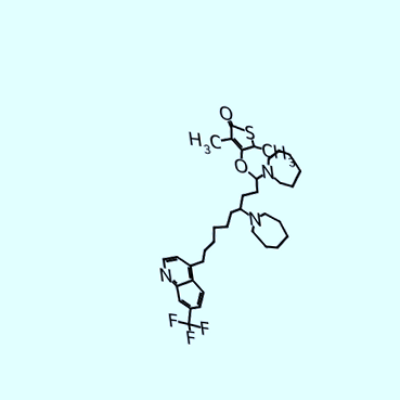 CC1=C(OC(CCC(CCCCCCc2ccnc3cc(C(F)(F)F)ccc23)N2CCCCCC2)N2CCCCCC2)C(C)SC1=O